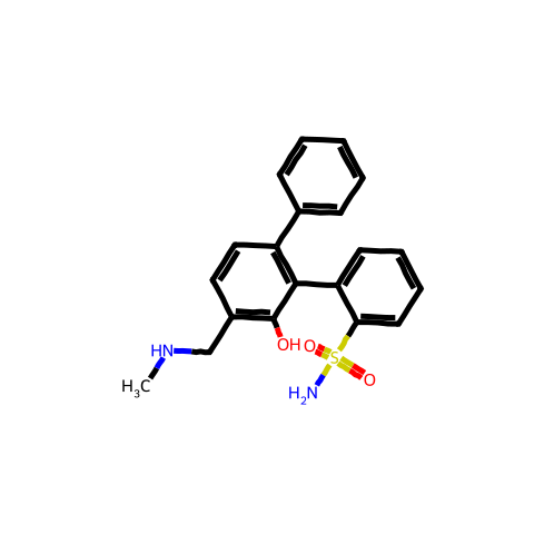 CNCc1ccc(-c2ccccc2)c(-c2ccccc2S(N)(=O)=O)c1O